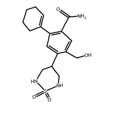 NC(=O)c1cc(CO)c(C2CNS(=O)(=O)NC2)cc1C1=CCCCC1